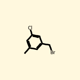 Cc1cc(Cl)cc(CBr)c1